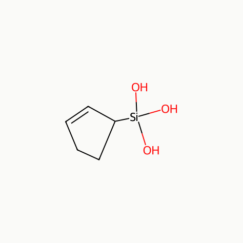 O[Si](O)(O)C1C=CCC1